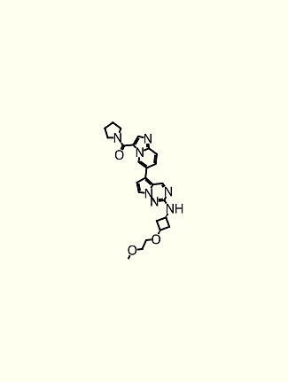 COCCO[C@H]1C[C@@H](Nc2ncc3c(-c4ccc5ncc(C(=O)N6CCCC6)n5c4)ccn3n2)C1